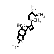 C=CC(=C)/C=C\N(C)C1C=CC1(C)c1cc2oc(C)cc2cc1C(C)C